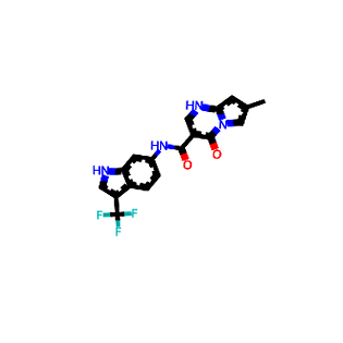 Cc1cc2[nH]cc(C(=O)Nc3ccc4c(C(F)(F)F)c[nH]c4c3)c(=O)n2c1